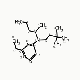 CCCC(C)N(CCC(C)(C)C)c1ccnc(CC)n1